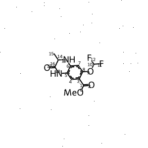 COC(=O)c1cc2c(cc1OC(F)F)NC(C)C(=O)N2